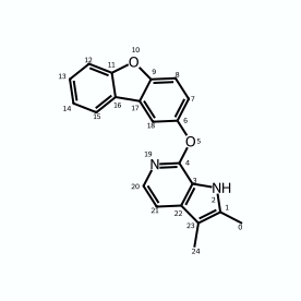 Cc1[nH]c2c(Oc3ccc4oc5ccccc5c4c3)nccc2c1C